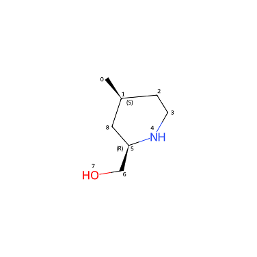 C[C@H]1CCN[C@@H](CO)C1